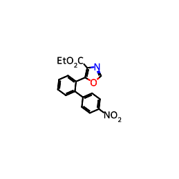 CCOC(=O)c1ncoc1-c1ccccc1-c1ccc([N+](=O)[O-])cc1